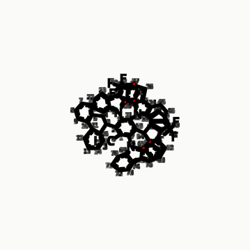 Cc1c(C2Cc3ccccc3-c3ccccc32)c(-n2c3ccccc3c3ccccc32)c(-n2c3c(c4ccc(C(F)(F)F)cc42)CCC(C(F)(F)F)=C3)c(C2C3=C(CCC=C3)c3ccccc32)c1-n1c2ccccc2c2ccccc21